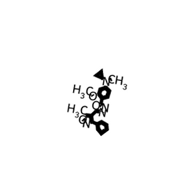 COc1cc(N(C)C2CC2)ccc1-c1nnc(-c2c(-c3ccccc3)noc2C)o1